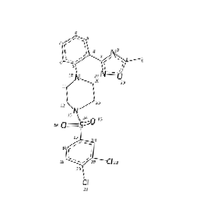 Cc1nc(-c2c[c]ccc2N2CCN(S(=O)(=O)c3ccc(Cl)c(Cl)c3)CC2)no1